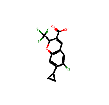 O=C(O)C1=Cc2cc(Cl)c(C3CC3)cc2OC1C(F)(F)F